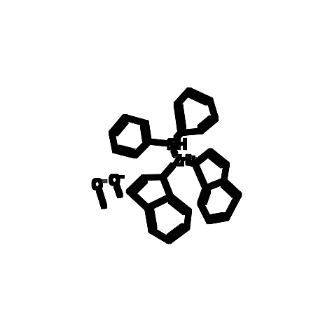 C1=C[CH]([Zr+2]([CH]2C=Cc3ccccc32)[SiH](c2ccccc2)c2ccccc2)c2ccccc21.C[O-].C[O-]